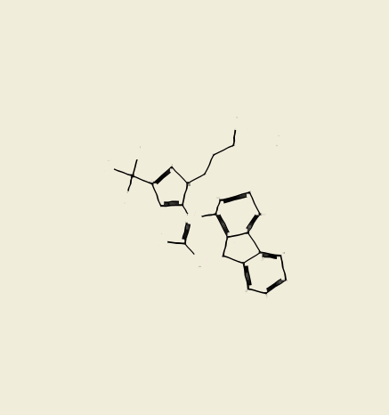 CCCCC1C=C(C(C)(C)C)C=[C]1[Zr+2](=[C](C)C)[c]1cccc2c1Cc1ccccc1-2.[Cl-].[Cl-]